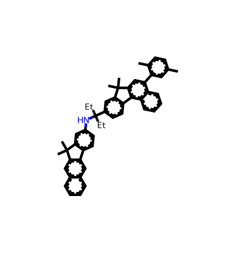 CCC(CC)(Nc1ccc2c(c1)C(C)(C)c1cc3ccccc3cc1-2)c1ccc2c(c1)C(C)(C)c1cc(-c3cc(C)ccc3C)c3ccccc3c1-2